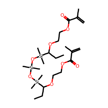 C=C(C)C(=O)OCCOC(CC)[Si](C)(C)O[Si](C)(C)O[Si](C)(C)C(CC)OCCOC(=O)C(=C)C